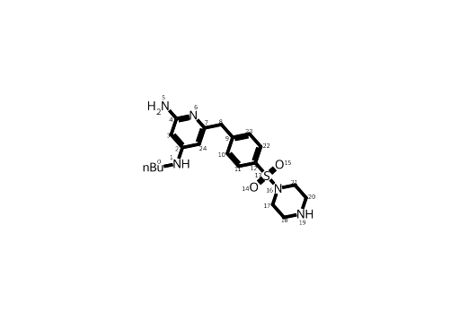 CCCCNc1cc(N)nc(Cc2ccc(S(=O)(=O)N3CCNCC3)cc2)c1